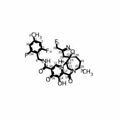 Cc1cc(F)c(CNC(=O)c2cn3c(c(O)c2=O)C(=O)N2C[C@@H]3[C@]3(CC[C@@H]2C)CC(CF)=NO3)c(F)c1